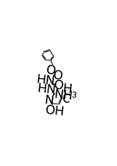 CC1=CC(O)N=C(NC(=O)NC(=O)OCc2ccccc2)N1